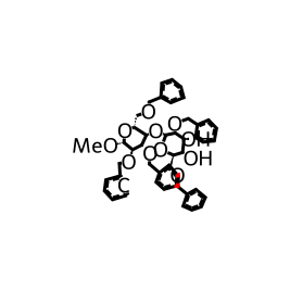 CO[C@@H]1O[C@H](COCc2ccccc2)[C@@H](O[C@@H]2O[C@H](COCc3ccccc3)[C@H](O)[C@H](O)[C@H]2OCc2ccccc2)[C@H](OCc2ccccc2)[C@H]1OCc1ccccc1